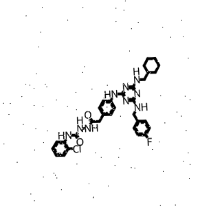 O=C(Cc1ccc(Nc2nc(NCc3ccc(F)cc3)nc(NCC3CCCCC3)n2)cc1)NNC(=O)Nc1ccccc1Cl